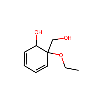 CCOC1(CO)C=CC=CC1O